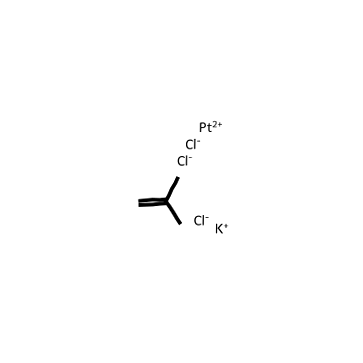 C=C(C)C.[Cl-].[Cl-].[Cl-].[K+].[Pt+2]